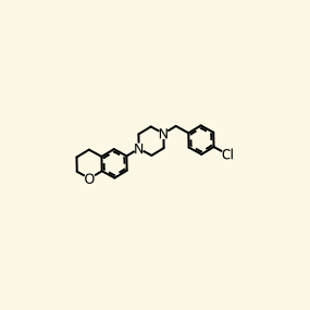 Clc1ccc(CN2CCN(c3ccc4c(c3)CCCO4)CC2)cc1